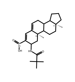 CC(C)(C)C(=O)NC1C[C@@]2(C)C(=CCC3C4CCC[C@@]4(C)CCC32)C=C1[PH](=O)O